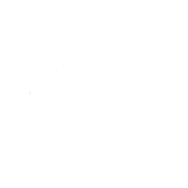 CC(C)CCCCCCOC(=O)c1ccccc1.CCCCC(CC)COC(=O)c1ccccc1